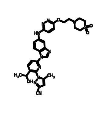 Cc1cc(C#N)nn1-c1nc(-n2cnc3cc(Nc4ccc(OCCN5CCS(=O)(=O)CC5)nn4)ccc32)ccc1C(C)O